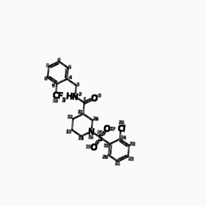 O=C(NCc1ccccc1C(F)(F)F)C1CCCN(S(=O)(=O)c2ccccc2Cl)C1